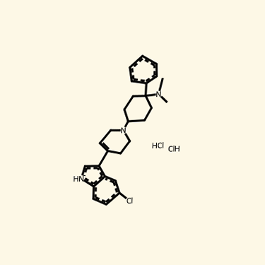 CN(C)C1(c2ccccc2)CCC(N2CC=C(c3c[nH]c4ccc(Cl)cc34)CC2)CC1.Cl.Cl